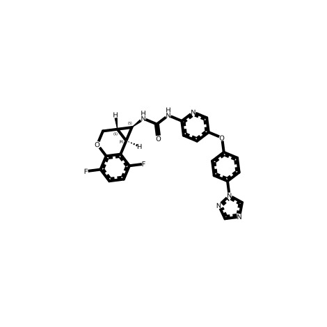 O=C(Nc1ccc(Oc2ccc(-n3cncn3)cc2)cn1)N[C@@H]1[C@H]2COc3c(F)ccc(F)c3[C@@H]21